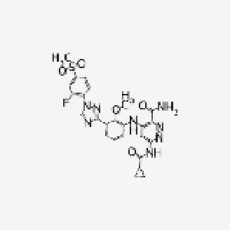 COc1c(Nc2cc(NC(=O)C3CC3)nnc2C(N)=O)cccc1-c1ncn(-c2ccc(S(C)(=O)=O)cc2F)n1